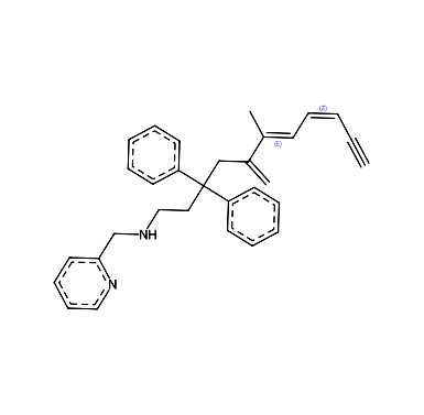 C#C/C=C\C=C(/C)C(=C)CC(CCNCc1ccccn1)(c1ccccc1)c1ccccc1